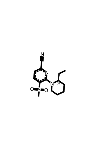 CC[C@H]1CCCCN1c1nc(C#N)ccc1S(C)(=O)=O